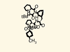 COC(=O)[C@H](Cc1cccc(N(C(=O)OC(C)(C)C)C(=O)C2CCCCN2)c1)NC(=O)[C@@H]1CCCN1S(=O)(=O)c1ccc(C)cc1